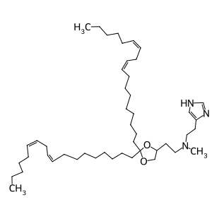 CCCCC/C=C\C/C=C\CCCCCCCCC1(CCCCCCCC/C=C\C/C=C\CCCCC)OCC(CCN(C)CCc2c[nH]cn2)O1